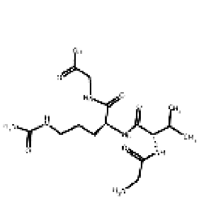 CC(C)[C@H](NC(=O)CN)C(=O)N[C@@H](CCCNC(N)=O)C(=O)NCC(=O)O